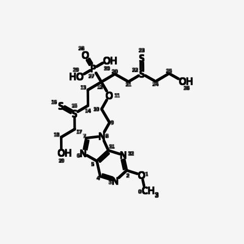 COc1ncc2ncn(CCOC(CCS(=S)CCO)(CCS(=S)CCO)P(=O)(O)O)c2n1